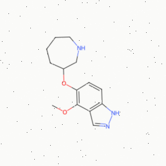 COc1c(OC2CCCCNC2)ccc2[nH]ncc12